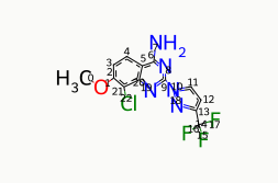 COc1ccc2c(N)nc(-n3ccc(C(F)(F)F)n3)nc2c1Cl